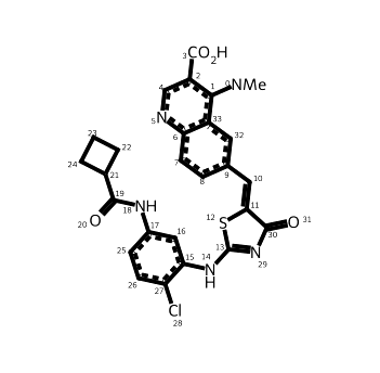 CNc1c(C(=O)O)cnc2ccc(/C=C3\SC(Nc4cc(NC(=O)C5CCC5)ccc4Cl)=NC3=O)cc12